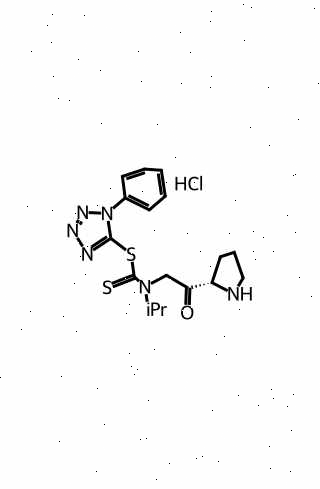 CC(C)N(CC(=O)[C@@H]1CCCN1)C(=S)Sc1nnnn1-c1ccccc1.Cl